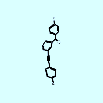 O=C(c1ccc(F)cc1)c1cccc(C#Cc2ccc(F)cc2)c1